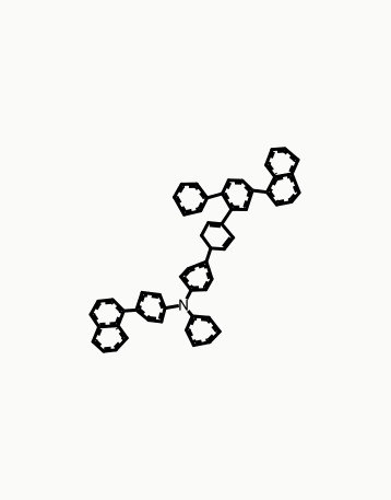 C1=CC(c2ccc(N(c3ccccc3)c3ccc(-c4cccc5ccccc45)cc3)cc2)CC=C1c1cc(-c2cccc3ccccc23)ccc1-c1ccccc1